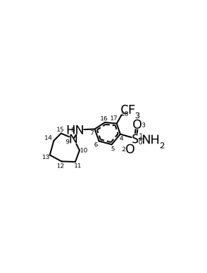 NS(=O)(=O)c1ccc(NN2CCCCCC2)cc1C(F)(F)F